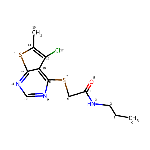 CCCNC(=O)CSc1ncnc2sc(C)c(Cl)c12